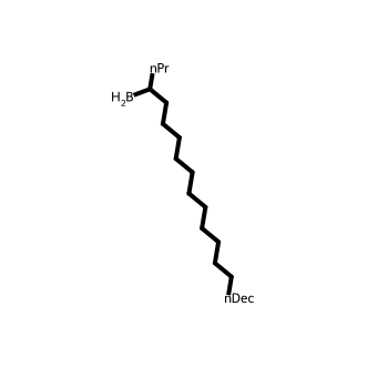 BC(CCC)CCCCCCCCCCCCCCCCCCCCC